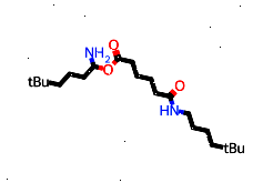 CC(C)(C)CCCCNC(=O)CCCCC(=O)OC(N)CCCC(C)(C)C